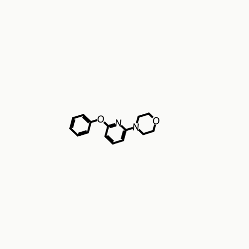 c1ccc(Oc2cccc(N3CCOCC3)n2)cc1